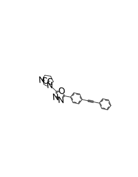 C(#Cc1ccc(-c2nnc(N3CCN4CCC3CC4)o2)cc1)c1ccccc1